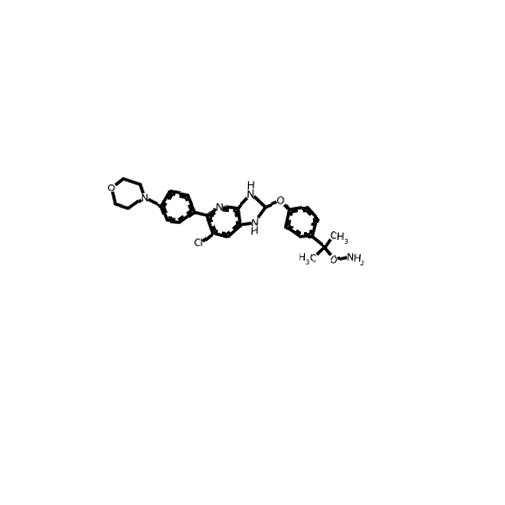 CC(C)(ON)c1ccc(OC2Nc3cc(Cl)c(-c4ccc(N5CCOCC5)cc4)nc3N2)cc1